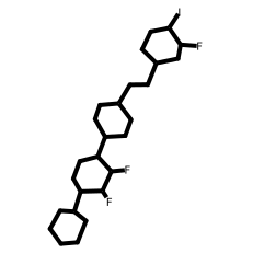 FC1CC(CCC2CCC(C3CCC(C4CCCCC4)C(F)C3F)CC2)CCC1I